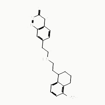 COc1cccc2c1CCCC2CCNCCc1ccc2c(c1)N=NC(=O)C2